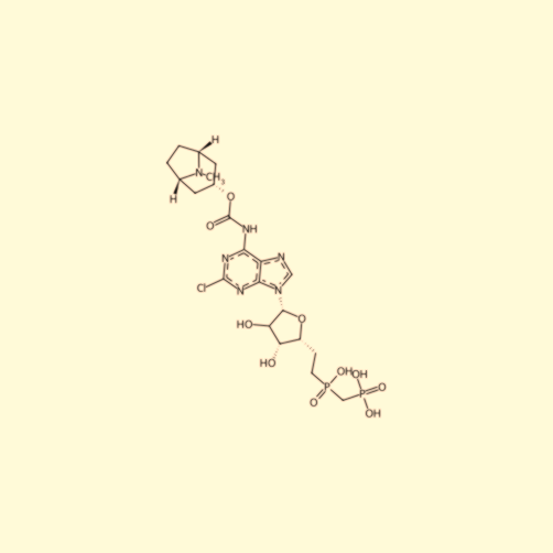 CN1[C@@H]2CC[C@H]1C[C@@H](OC(=O)Nc1nc(Cl)nc3c1ncn3[C@@H]1O[C@H](CCP(=O)(O)CP(=O)(O)O)[C@H](O)C1O)C2